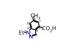 CCn1ncc2c(C(=O)O)cc(C)cc21